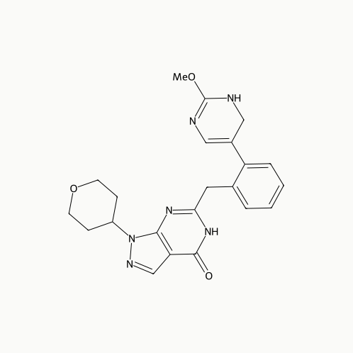 COC1=NC=C(c2ccccc2Cc2nc3c(cnn3C3CCOCC3)c(=O)[nH]2)CN1